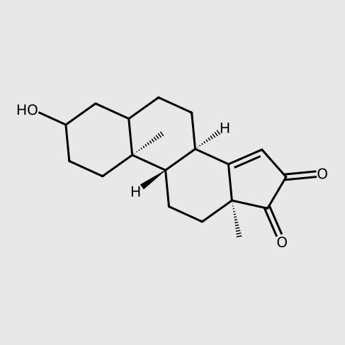 C[C@]12CC[C@H]3[C@@H](CCC4CC(O)CC[C@@]43C)C1=CC(=O)C2=O